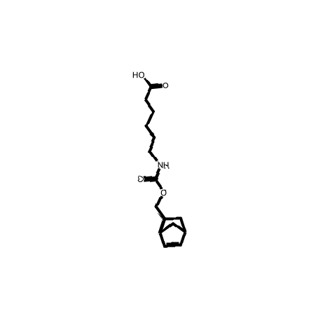 O=C(O)CCCCCNC(=O)OCC1CC2C=CC1C2